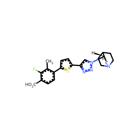 Cc1c(-c2ccc(-c3cn([C@H]4CN5CCC4CC5)nn3)s2)ccc(C(=O)O)c1F